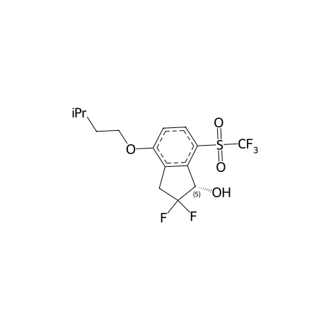 CC(C)CCOc1ccc(S(=O)(=O)C(F)(F)F)c2c1CC(F)(F)[C@H]2O